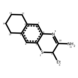 CCC1Sc2cc3c(cc2N=C1N)CCCC3